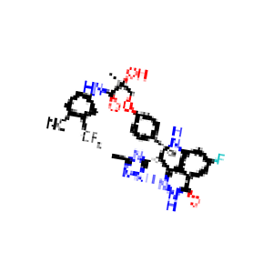 Cc1n[nH]c([C@H]2c3n[nH]c(=O)c4cc(F)cc(c34)N[C@@H]2c2ccc(OC[C@](C)(O)C(=O)Nc3ccc(C#N)c(C(F)(F)F)c3)cc2)n1